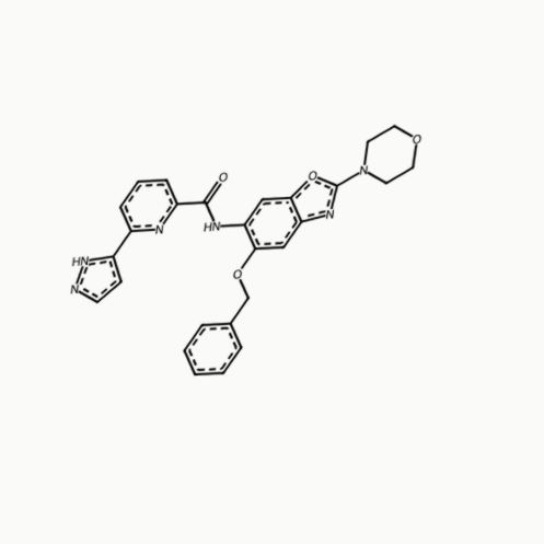 O=C(Nc1cc2oc(N3CCOCC3)nc2cc1OCc1ccccc1)c1cccc(-c2ccn[nH]2)n1